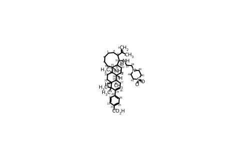 C=C(C)C1CCCCC[C@]2(N)[C@H](CC[C@@H]3[C@@]4(C)CC=C(c5ccc(C(=O)O)cc5)C(C)(C)[C@@H]4CC[C@]32C)[C@@H]1NCCN1CCS(=O)(=O)CC1